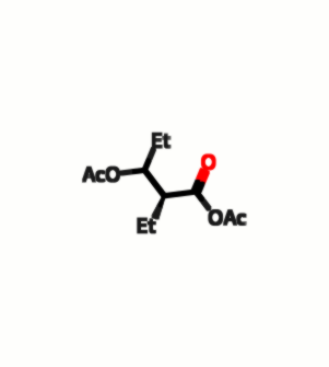 CCC(OC(C)=O)[C@H](CC)C(=O)OC(C)=O